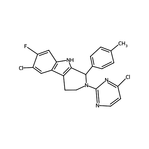 Cc1ccc(C2c3[nH]c4cc(F)c(Cl)cc4c3CCN2c2nccc(Cl)n2)cc1